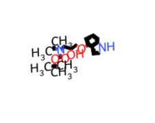 CC(C)N(CC(O)COc1cccc2[nH]ccc12)C(=O)OC(C)(C)C